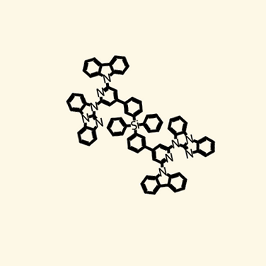 c1ccc([Si](c2ccccc2)(c2cccc(-c3cc(-n4c5ccccc5c5ccccc54)nc(-n4c5ccccc5n5c6ccccc6nc45)c3)c2)c2cccc(-c3cc(-n4c5ccccc5c5ccccc54)nc(-n4c5ccccc5n5c6ccccc6nc45)c3)c2)cc1